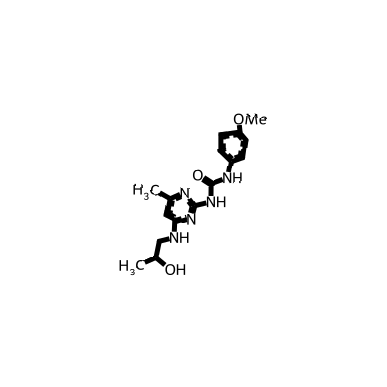 COc1ccc(NC(=O)Nc2nc(C)cc(NCC(C)O)n2)cc1